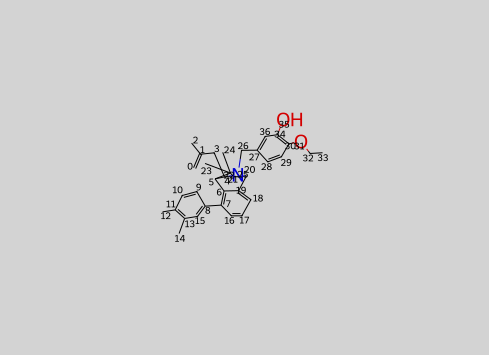 C=C(C)CC1C2c3c(-c4ccc(C)c(C)c4)cccc3C(CC2(C)C)N1Cc1ccc(OCC)c(O)c1